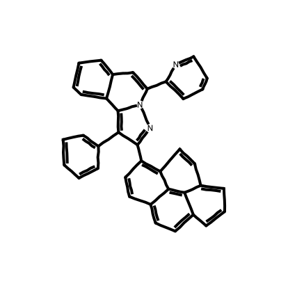 c1ccc(-c2c(-c3ccc4ccc5cccc6ccc3c4c56)nn3c(-c4ccccn4)cc4ccccc4c23)cc1